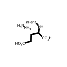 CCCCCNC(CCC(=O)O)C(=O)O.N.N